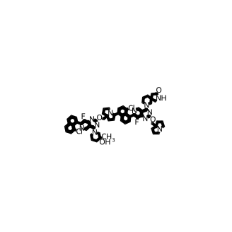 CC1(O)CCCN(c2nc(OCC34CCCN3C(c3ccc(Cl)c5c(-c6ncc7c(N8CCCC9(CNC(=O)C9)C8)nc(OCC89CCCN8CCC9)nc7c6F)cccc35)CC4)nc3c(F)c(-c4cccc5cccc(Cl)c45)ncc23)C1